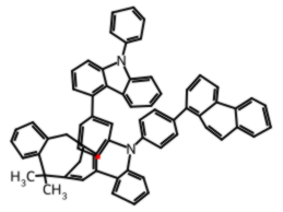 CC1(C)C2=CC(c3ccccc3N(c3ccc(-c4cccc5c4ccc4ccccc45)cc3)c3cccc(-c4cccc5c4c4ccccc4n5-c4ccccc4)c3)=CC(C2)Cc2ccccc21